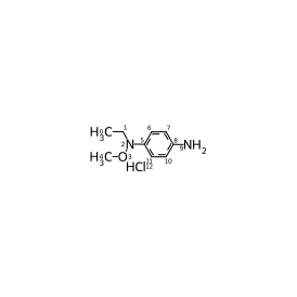 CCN(OC)c1ccc(N)cc1.Cl